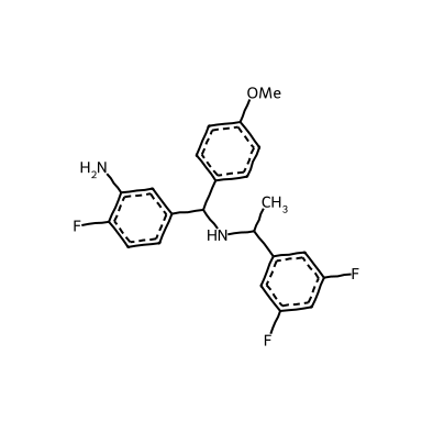 COc1ccc(C(NC(C)c2cc(F)cc(F)c2)c2ccc(F)c(N)c2)cc1